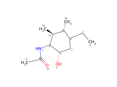 CCC1C[C@H](O)C(NC(C)=O)[C@@H](C)[C@@H]1C